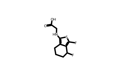 O=C(O)CNc1sc(F)c2c1CCCC2F